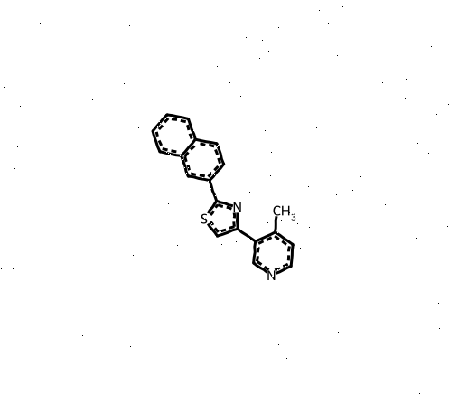 Cc1ccncc1-c1csc(-c2ccc3ccccc3c2)n1